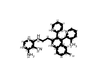 Cc1cccnc1-c1c(-c2ccccn2)c(CCNc2ncnc(N)c2C#N)nc2ccc(F)cc12